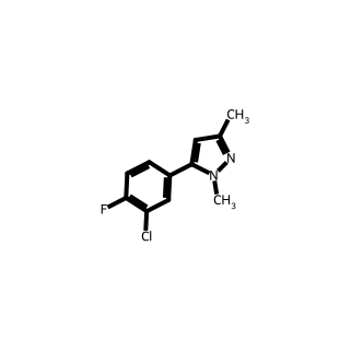 Cc1cc(-c2ccc(F)c(Cl)c2)n(C)n1